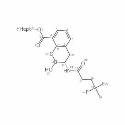 CCCCCCCOC(=O)c1cccc2c1OB(O)[C@@H](NC(=O)CCC(C)(F)F)C2